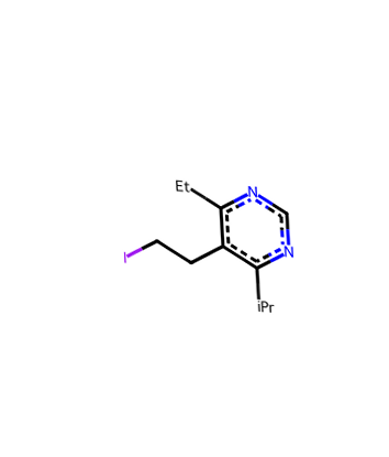 CCc1ncnc(C(C)C)c1CCI